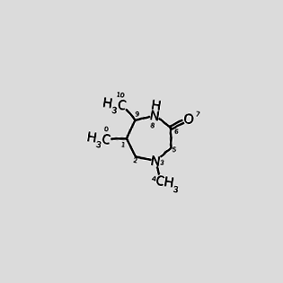 CC1CN(C)CC(=O)NC1C